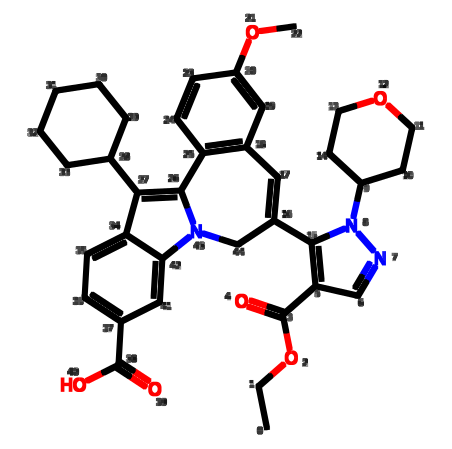 CCOC(=O)c1cnn(C2CCOCC2)c1C1=Cc2cc(OC)ccc2-c2c(C3CCCCC3)c3ccc(C(=O)O)cc3n2C1